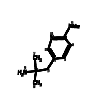 CNc1ccc(CC(C)(C)N)cn1